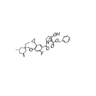 C=C1CC(C)CC(CC)(COc2cc(F)c(C(=O)N3CC[C@@H](O)[C@H]3C(=O)OCc3ccccc3)cc2C2CC2)C1